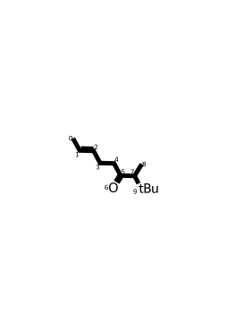 CC=CCCC(=O)C(C)C(C)(C)C